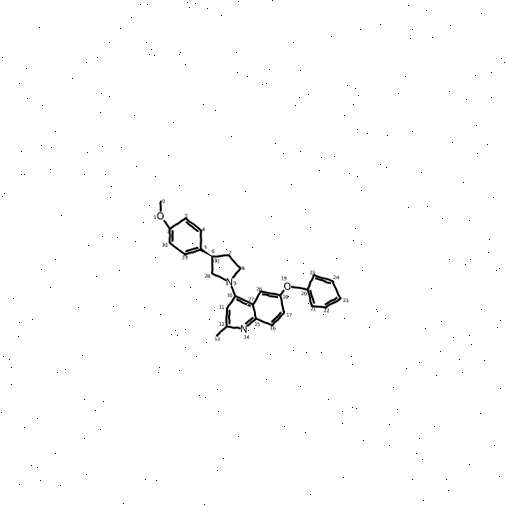 COc1ccc([C@H]2CCN(c3cc(C)nc4ccc(Oc5ccccc5)cc34)C2)cc1